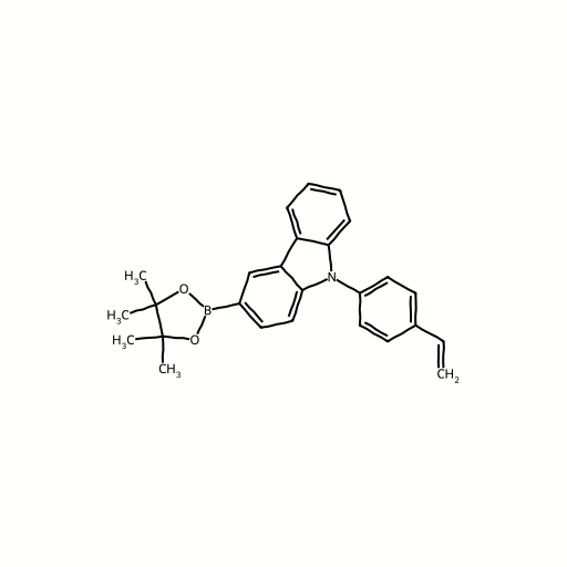 C=Cc1ccc(-n2c3ccccc3c3cc(B4OC(C)(C)C(C)(C)O4)ccc32)cc1